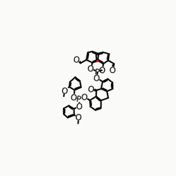 COc1ccccc1OP(Oc1ccccc1OC)Oc1cccc2c1C(=O)c1c(cccc1OP(Oc1ccccc1C=O)Oc1ccccc1C=O)C2